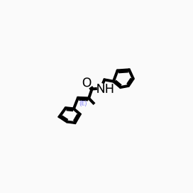 C/C(=C\c1ccccc1)C(=O)NCc1ccccc1